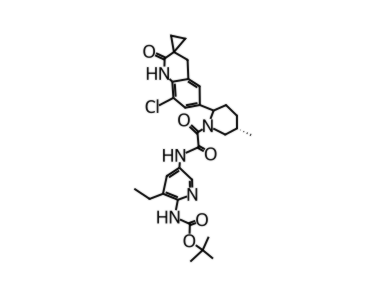 CCc1cc(NC(=O)C(=O)N2C[C@@H](C)CCC2c2cc(Cl)c3c(c2)CC2(CC2)C(=O)N3)cnc1NC(=O)OC(C)(C)C